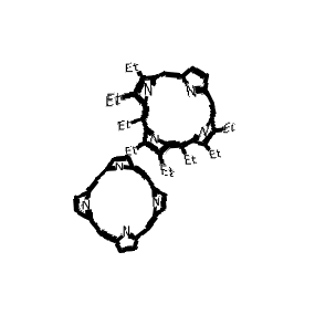 C1=CC2=NC1=CC1=NC(=CC3=NC(=CC4=NC(=C2)C=C4)C=C3)C=C1.CCC1=C(CC)C2=NC1=CC1=NC(=CC3=NC(=C(CC)C4=NC(=C2CC)C(CC)=C4CC)C(CC)=C3CC)C=C1